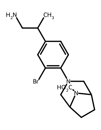 CC(CN)c1ccc(N2CC3CCC(C2)N3C(=O)O)c(Br)c1